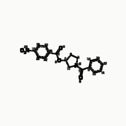 O=C(OC1CCN(C(=O)c2ccccc2)C1)c1ccc([N+](=O)[O-])cc1